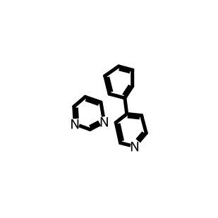 c1ccc(-c2ccncc2)cc1.c1cncnc1